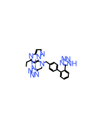 CCc1cc(N(Cc2ccc(-c3ccccc3-c3nnn[nH]3)cc2)Cc2nnn[nH]2)n2nccc2n1